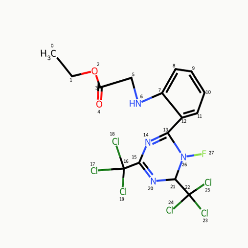 CCOC(=O)CNc1ccccc1C1=NC(C(Cl)(Cl)Cl)=NC(C(Cl)(Cl)Cl)N1F